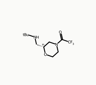 CC(C)(C)NC[C@@H]1CN(C(=O)C(F)(F)F)CCO1